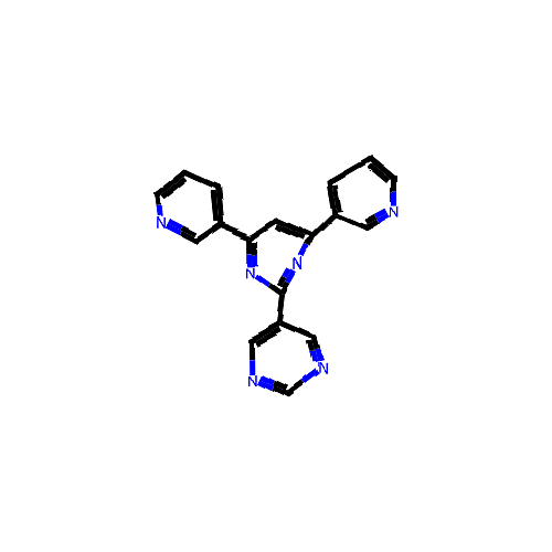 c1cncc(-c2cc(-c3cccnc3)nc(-c3cncnc3)n2)c1